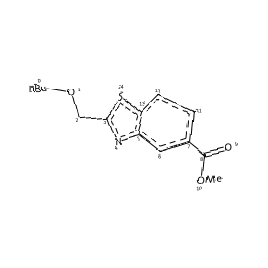 CCCCOCc1nc2cc(C(=O)OC)ccc2s1